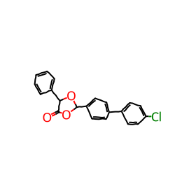 O=C1OC(c2ccc(-c3ccc(Cl)cc3)cc2)OC1c1ccccc1